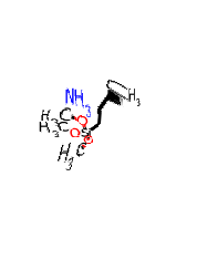 CCCC[Si](OC)(OC)OC.N